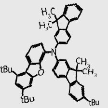 CC(C)(C)c1ccc2c(c1)C(C)(C)c1cc(N(c3ccc4c(c3)C(C)(C)c3ccccc3-4)c3cccc4c3oc3cc(C(C)(C)C)cc(C(C)(C)C)c34)ccc1-2